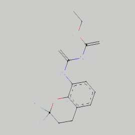 C=C(NC(=C)OCC)Nc1cccc2c1OC(F)(F)CC2